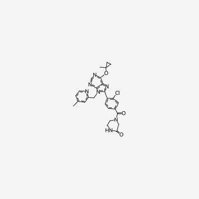 Cc1ccnc(Cn2c(-c3ccc(C(=O)N4CCNC(=O)C4)cc3Cl)nc3c(OC4(C)CC4)ncnc32)c1